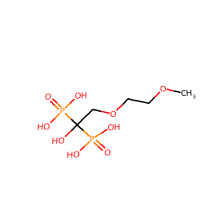 COCCOCC(O)(P(=O)(O)O)P(=O)(O)O